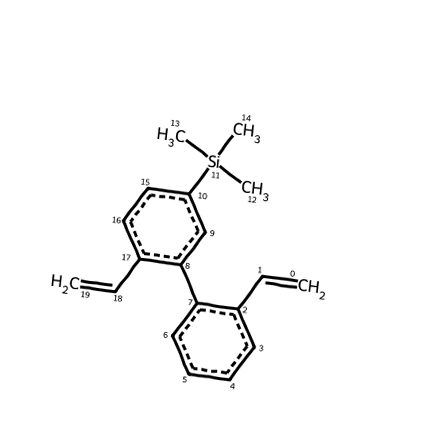 C=Cc1ccccc1-c1cc([Si](C)(C)C)ccc1C=C